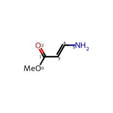 COC(=O)C=CN